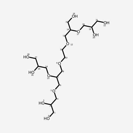 OCC(O)COCC(COCCOCC(CO)OCC(O)CO)OCC(O)CO